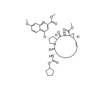 COC(=O)c1cc(O[C@@H]2C[C@H]3C(=O)N[C@]4(C(=O)OC)C[C@H]4/C=C\CCCCC[C@H](NC(=O)OC4CCCC4)C(=O)N3C2)c2ccc(OC)cc2n1